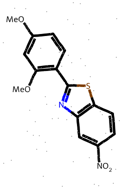 COc1ccc(-c2nc3cc([N+](=O)[O-])ccc3s2)c(OC)c1